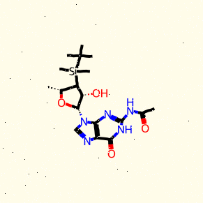 CC(=O)Nc1nc2c(ncn2[C@@H]2O[C@H](C)C([Si](C)(C)C(C)(C)C)[C@@H]2O)c(=O)[nH]1